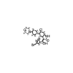 O=C1Nc2cc(Cl)c(-c3ccc(N4CCOCC4)cc3)cc2/C1=C(/O)c1cc(Br)no1